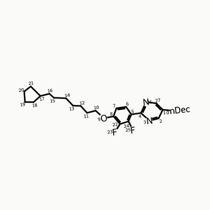 CCCCCCCCCCc1cnc(-c2ccc(OCCCCCCCC3CCCC3)c(F)c2F)nc1